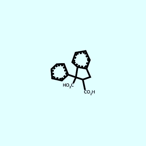 O=C(O)C1Cc2ccccc2C1(C(=O)O)c1ccccc1